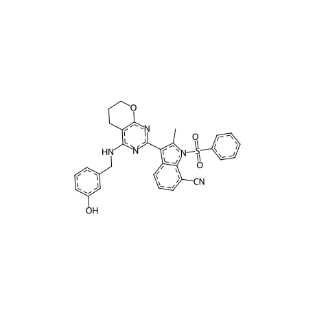 Cc1c(-c2nc(NCc3cccc(O)c3)c3c(n2)OCCC3)c2cccc(C#N)c2n1S(=O)(=O)c1ccccc1